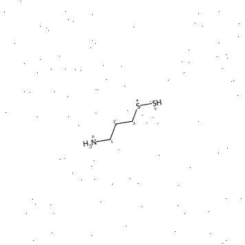 NCCCSS